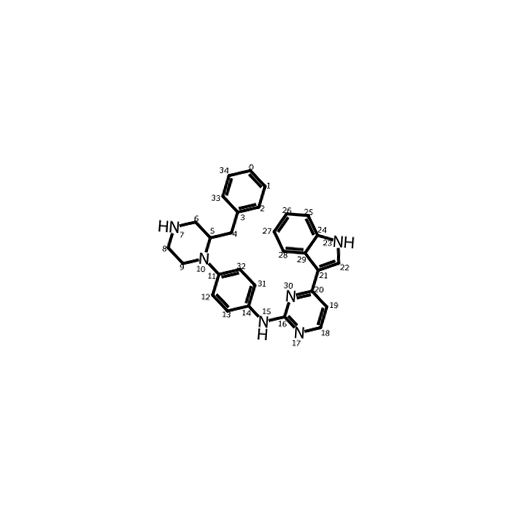 c1ccc(CC2CNCCN2c2ccc(Nc3nccc(-c4c[nH]c5ccccc45)n3)cc2)cc1